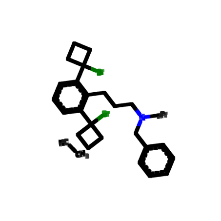 CC#N.CCCN(CCCc1c(C2(Br)CCC2)cccc1C1(Br)CCC1)Cc1ccccc1